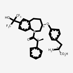 C[C@H](C(=O)N1C[C@@H](Oc2ccc(C[C@@H](N)C(=O)O)cc2)CCc2cc(C(O)(C(F)(F)F)C(F)(F)F)ccc21)c1ccccc1